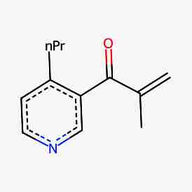 C=C(C)C(=O)c1cnccc1CCC